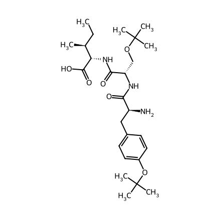 CC[C@H](C)[C@H](NC(=O)[C@H](COC(C)(C)C)NC(=O)[C@@H](N)Cc1ccc(OC(C)(C)C)cc1)C(=O)O